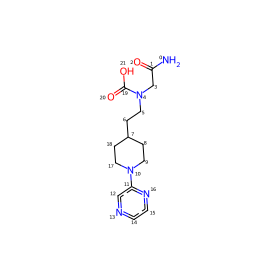 NC(=O)CN(CCC1CCN(c2cnccn2)CC1)C(=O)O